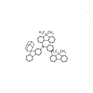 CC1(C)c2ccccc2-c2c(N(c3cccc(-c4cccc5c4C(C)(C)c4ccccc4-5)c3)c3ccc4c(c3)C3(c5ccccc5-4)C4CC5CC(C4)CC3C5)cccc21